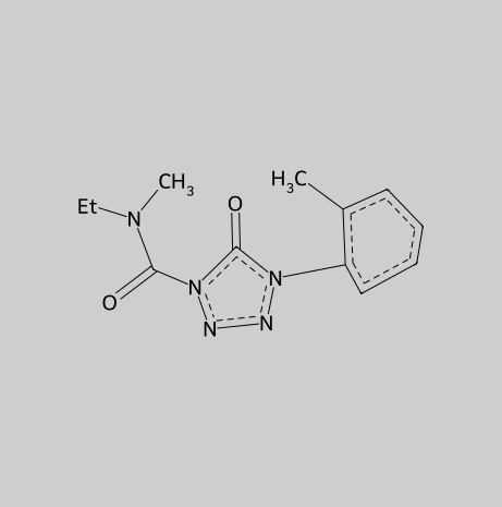 CCN(C)C(=O)n1nnn(-c2ccccc2C)c1=O